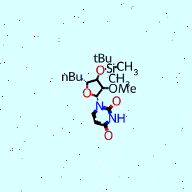 CCCC[C@H]1O[C@@H](n2ccc(=O)[nH]c2=O)C(OC)C1O[Si](C)(C)C(C)(C)C